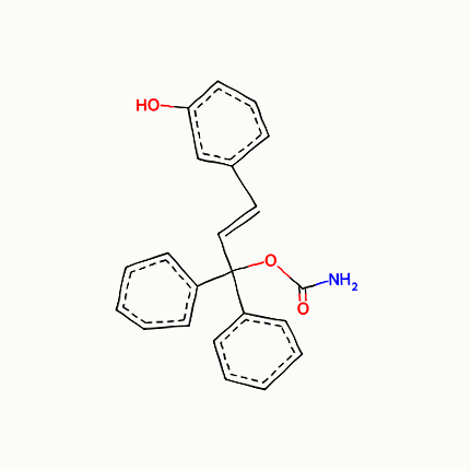 NC(=O)OC(/C=C/c1cccc(O)c1)(c1ccccc1)c1ccccc1